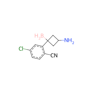 BC1(c2cc(Cl)ccc2C#N)CC(N)C1